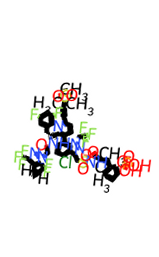 CC(C)(Cc1ccccc1OP(=O)(O)O)C(=O)NS(=O)(=O)Cc1nn(CC(F)(F)F)c2c(-c3ccc(C#CC(C)(C)S(C)(=O)=O)nc3[C@H](Cc3cc(F)cc(F)c3)NC(=O)Cn3nc(C(F)(F)F)c4c3C(F)(F)[C@@H]3C[C@H]43)ccc(Cl)c12